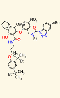 CCCCc1ccc2c(c1)nnn2C(=O)N(CC)Cc1cc([N+](=O)[O-])ccc1Oc1c(OC)c2c(c(O)c1C(=O)NCCCOc1ccc(C(C)(C)CC)cc1C(C)(C)CC)C1CCC2C1